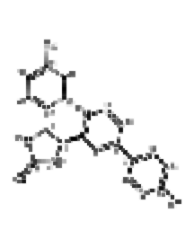 O=C1N[C@H](c2cc(-c3ccc(F)cc3)ccn2)[C@@H](c2ccc(F)cc2)O1